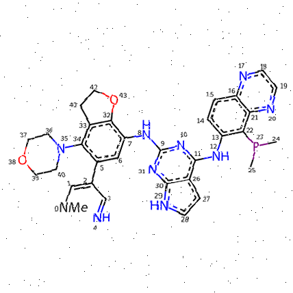 CN/C=C(\C=N)c1cc(Nc2nc(Nc3ccc4nccnc4c3P(C)C)c3cc[nH]c3n2)c2c(c1N1CCOCC1)CCO2